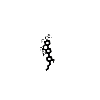 C=CCCc1ccc(-c2ccc3c(c2F)C(F)(F)Cc2c-3ccc(OCC)c2F)cc1F